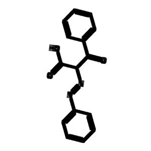 O=C(O)C(N=Nc1ccccc1)C(=O)c1ccccc1